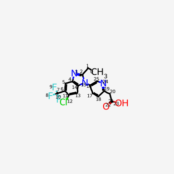 CCc1nc2cc(C(F)(F)F)c(Cl)cc2n1-c1ccc(CC(=O)O)nc1